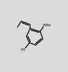 CNc1ccc(S)cc1/C=C\I